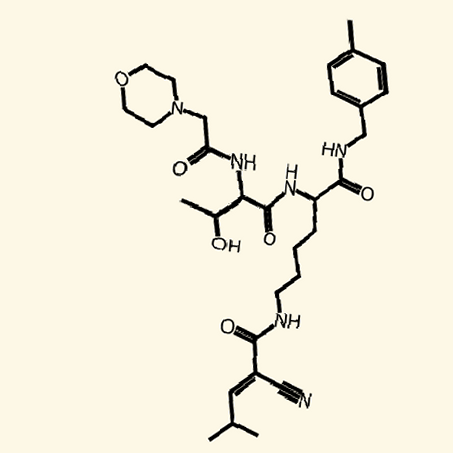 Cc1ccc(CNC(=O)C(CCCCNC(=O)C(C#N)=CC(C)C)NC(=O)C(NC(=O)CN2CCOCC2)C(C)O)cc1